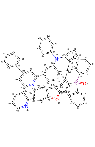 O=P1(c2ccccc2)c2ccccc2C2(c3ccccc3N(c3ccccc3)c3cc(-c4cc(-c5ccccc5)cc(-c5cccnc5)n4)ccc32)c2cc3c(cc21)oc1ccccc13